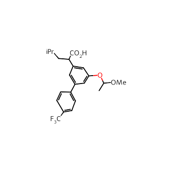 COC(C)Oc1cc(-c2ccc(C(F)(F)F)cc2)cc(C(CC(C)C)C(=O)O)c1